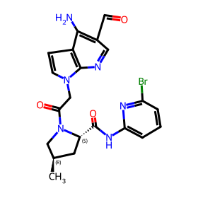 C[C@@H]1C[C@@H](C(=O)Nc2cccc(Br)n2)N(C(=O)Cn2ccc3c(N)c(C=O)cnc32)C1